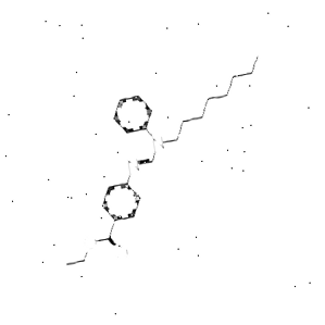 CCCCCCCCN(C=Nc1ccc(C(=O)OCC)cc1)c1ccccc1